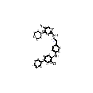 Fc1cnc(N/N=C/c2ccc(Nc3ccc(-c4cncnc4)cc3Cl)cn2)nc1N1CCOCC1